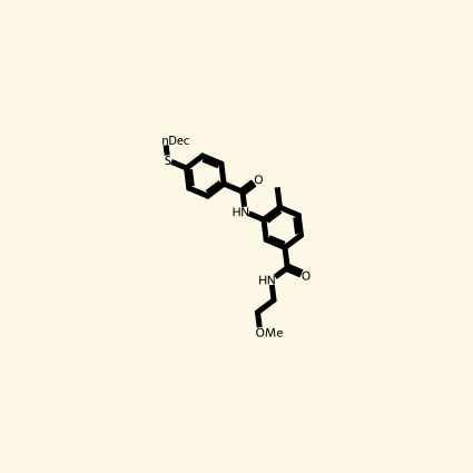 CCCCCCCCCCSc1ccc(C(=O)Nc2cc(C(=O)NCCOC)ccc2C)cc1